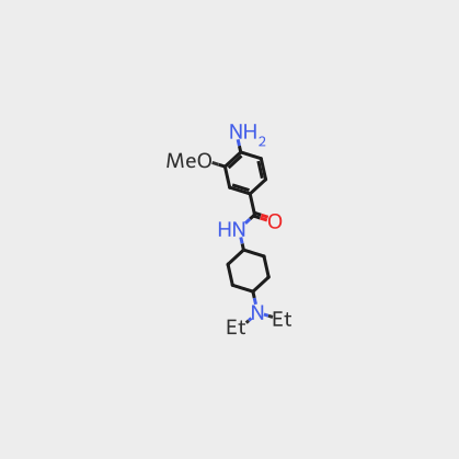 CCN(CC)C1CCC(NC(=O)c2ccc(N)c(OC)c2)CC1